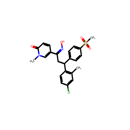 Cc1cc(Cl)ccc1C(CC(=NO)c1ccc(=O)n(C)c1)c1ccc(S(C)(=O)=O)cc1